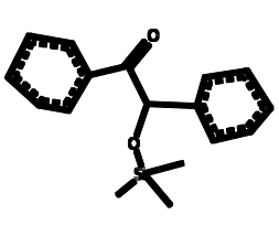 C[Si](C)(C)OC(C(=O)c1ccccc1)c1ccccc1